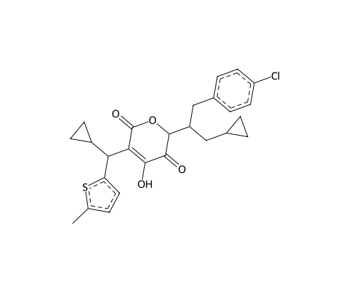 Cc1ccc(C(C2=C(O)C(=O)C(C(Cc3ccc(Cl)cc3)CC3CC3)OC2=O)C2CC2)s1